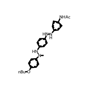 CCCCOc1ccc(N(C)Nc2ccc(NNc3ccc(NC(C)=O)cc3)cc2)cc1